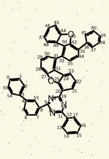 c1ccc(-c2cccc(-c3nc(-c4ccccc4)nc(-c4cccc5c4oc4cccc(-c6ccc(-c7ccccc7)c7oc8ccccc8c67)c45)n3)c2)cc1